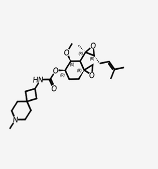 CO[C@H]1C([C@@]2(C)O[C@@H]2CC=C(C)C)[C@]2(CC[C@H]1OC(=O)NC1CC3(CCN(C)CC3)C1)CO2